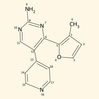 Cc1ccoc1-c1nc(N)ncc1-c1ccncc1